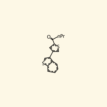 CCCC(=O)c1cc(-c2csc3ccccc23)cs1